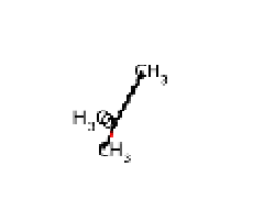 CCCCCCCCCCCCC(=COC)CCCCCCC